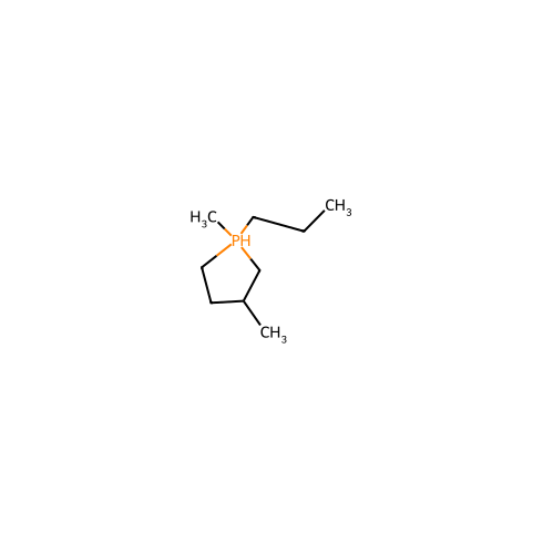 CCC[PH]1(C)CCC(C)C1